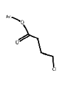 CC(=O)OC(=O)CCCCl